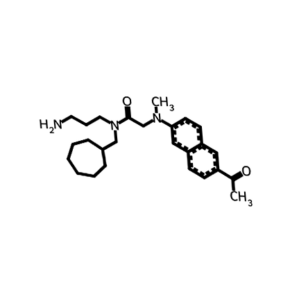 CC(=O)c1ccc2cc(N(C)CC(=O)N(CCCN)CC3CCCCCC3)ccc2c1